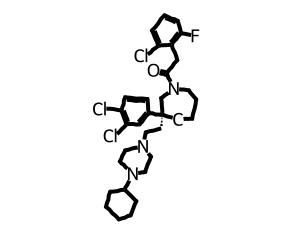 O=C(Cc1c(F)cccc1Cl)N1CCCC[C@@](CCN2CCN(C3CCCCC3)CC2)(c2ccc(Cl)c(Cl)c2)C1